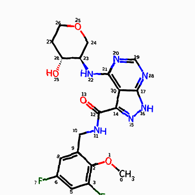 COc1c(F)cc(F)cc1CNC(=O)c1n[nH]c2ncnc(N[C@@H]3COCC[C@H]3O)c12